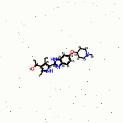 CC(=O)c1c(C)[nH]c(-c2nc3ccc(OC4CCN(C)CC4)cc3[nH]2)c1C